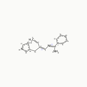 C=C/C(=C\N=C(/N)c1ccccc1)Cc1cnco1